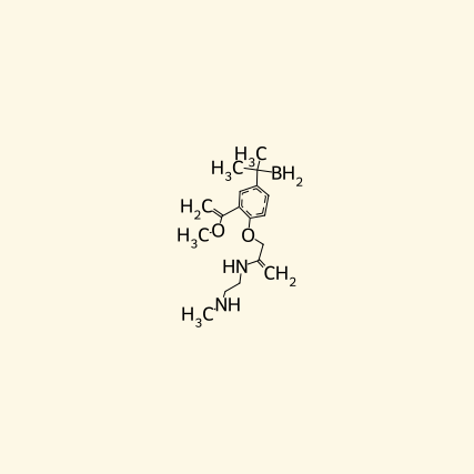 BC(C)(C)c1ccc(OCC(=C)NCCNC)c(C(=C)OC)c1